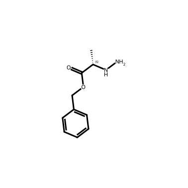 C[C@H](NN)C(=O)OCc1ccccc1